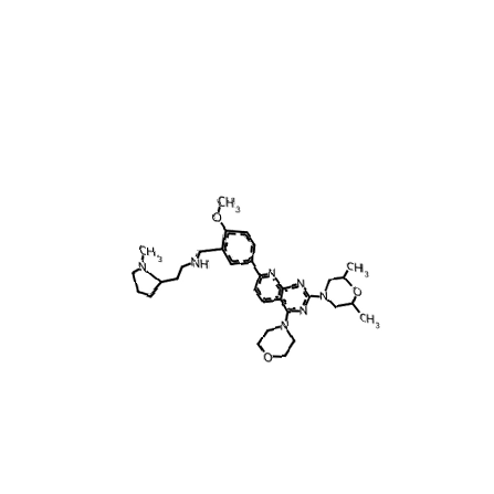 COc1ccc(-c2ccc3c(N4CCOCC4)nc(N4CC(C)OC(C)C4)nc3n2)cc1CNCCC1CCCN1C